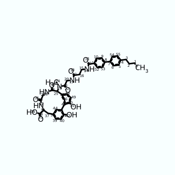 CCCCc1ccc(-c2ccc(C(=O)NCCC(=O)NCC(=O)N(C)C3C(=O)NCC(=O)NC(C(=O)O)Cc4ccc(O)c(c4)-c4cc3ccc4O)cc2)cc1